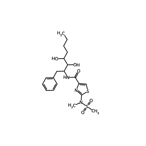 CCCCC(O)C(O)C(Cc1ccccc1)NC(=O)c1csc(N(C)S(C)(=O)=O)n1